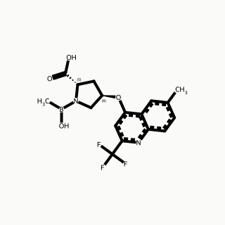 CB(O)N1C[C@H](Oc2cc(C(F)(F)F)nc3ccc(C)cc23)C[C@H]1C(=O)O